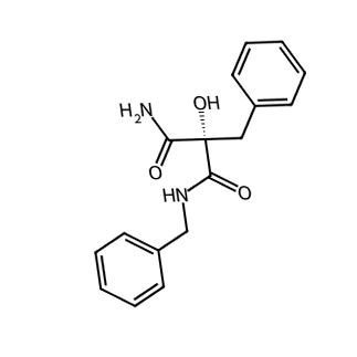 NC(=O)[C@@](O)(Cc1ccccc1)C(=O)NCc1ccccc1